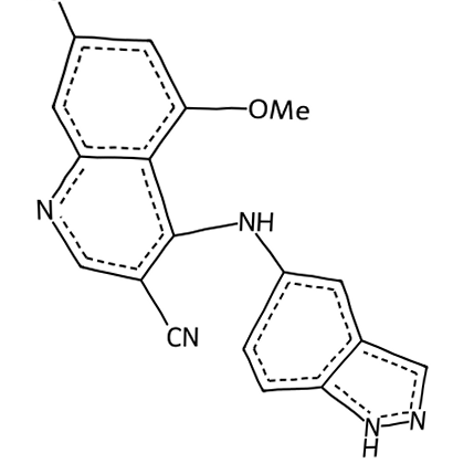 COc1cc(OC)c2c(Nc3ccc4[nH]ncc4c3)c(C#N)cnc2c1